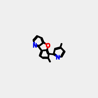 Cc1ccnc(-c2c(C)ccc3c2oc2cccnc23)c1